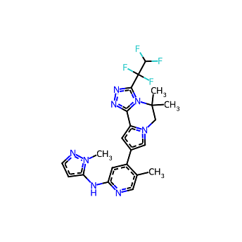 Cc1cnc(Nc2ccnn2C)cc1-c1cc2n(c1)CC(C)(C)n1c-2nnc1C(F)(F)C(F)F